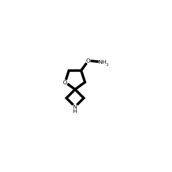 NOC1COC2(CNC2)C1